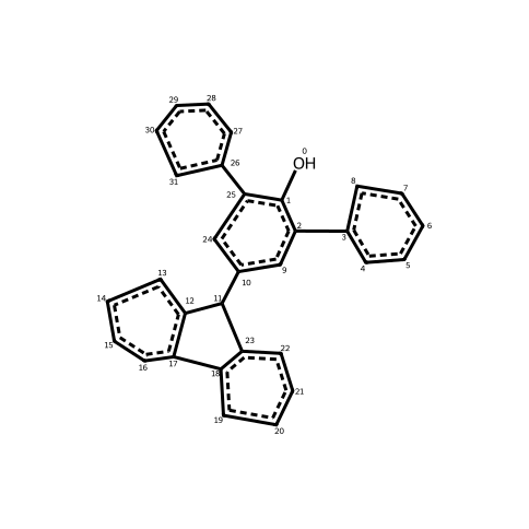 Oc1c(-c2ccccc2)cc(C2c3ccccc3-c3ccccc32)cc1-c1ccccc1